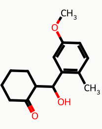 COc1ccc(C)c(C(O)C2CCCCC2=O)c1